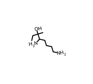 CCC(C)(O)C(N)CCCCN